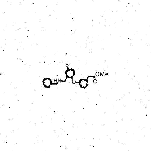 COC(=O)Cc1cccc(Oc2ccc(Br)cc2CNCc2ccccc2)c1